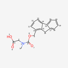 CN(CC(=O)O)C(=O)OCc1cccc2c1Cc1ccccc1-2